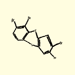 Brc1cc2c(cc1Br)Sc1c(ccc(Br)c1Br)S2